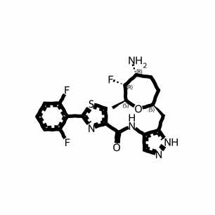 C[C@@H]1O[C@H](Cc2[nH]ncc2NC(=O)c2csc(-c3c(F)cccc3F)n2)CC[C@@H](N)[C@H]1F